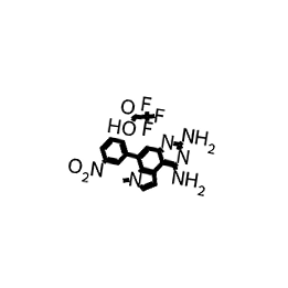 Cn1ccc2c3c(N)nc(N)nc3cc(-c3cccc([N+](=O)[O-])c3)c21.O=C(O)C(F)(F)F